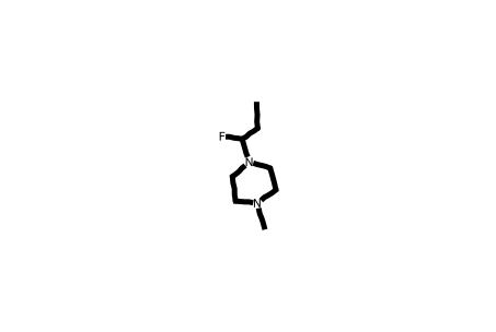 CCC(F)N1CCN(C)CC1